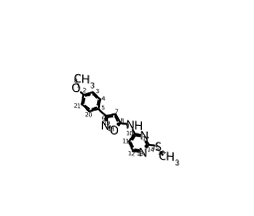 COc1ccc(-c2cc(Nc3ccnc(SC)n3)on2)cc1